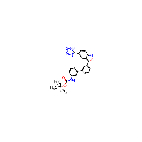 CC(C)(C)OC(=O)Nc1cccc(-c2cccc(-c3onc4ccc(-c5nnn[nH]5)cc34)c2)c1